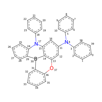 c1ccc(N(c2ccccc2)c2cc3c4c(c2)N(c2ccccc2)c2ccccc2B4c2ccccc2O3)cc1